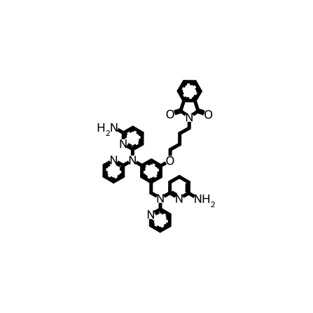 NC1=CCCC(N(Cc2cc(OCCCCN3C(=O)c4ccccc4C3=O)cc(N(c3ccccn3)c3cccc(N)n3)c2)c2ccccn2)=N1